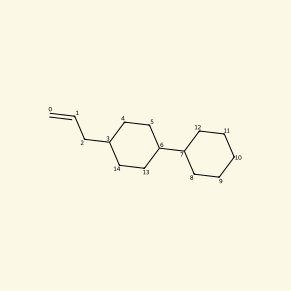 C=CCC1CCC(C2CCCCC2)CC1